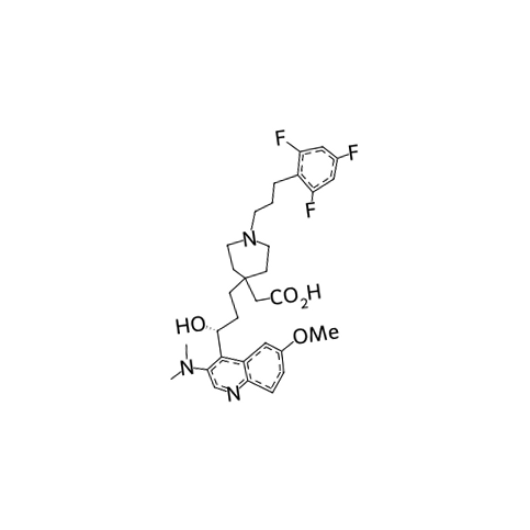 COc1ccc2ncc(N(C)C)c([C@H](O)CCC3(CC(=O)O)CCN(CCCc4c(F)cc(F)cc4F)CC3)c2c1